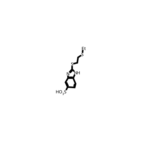 CCSCCSc1nc2cc(S(=O)(=O)O)ccc2[nH]1